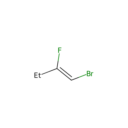 CCC(F)=CBr